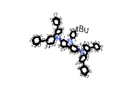 CC(C)(C)c1ccc(-n2c3cc(N4c5ccc(-c6ccccc6)cc5C5C=C(c6ccccc6)C=CC54)ccc3c3ccc(-n4c5ccc(-c6ccccc6)cc5c5cc(-c6ccccc6)ccc54)cc32)cc1